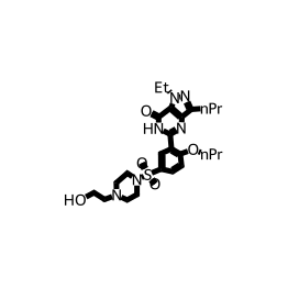 CCCOc1ccc(S(=O)(=O)N2CCN(CCO)CC2)cc1-c1nc2c(CCC)nn(CC)c2c(=O)[nH]1